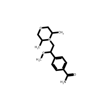 COC(CN1C(C)COCC1C)c1ccc(C(N)=O)cc1